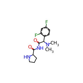 CN(C)C(C(=O)NC(=O)C1CCCN1)c1ccc(F)cc1F